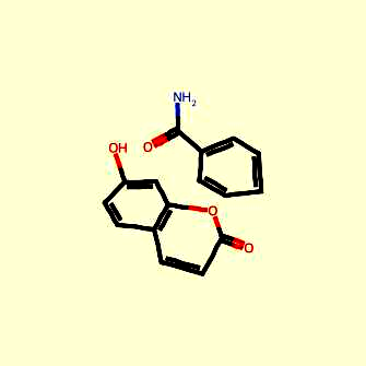 NC(=O)c1ccccc1.O=c1ccc2ccc(O)cc2o1